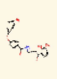 O=C(NCCC(=O)c1cccc(O)c1O)c1ccc(Oc2ccc(O)cc2)cc1